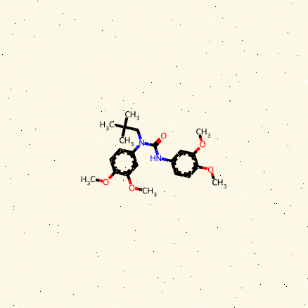 COc1ccc(NC(=O)N(CC(C)(C)C)c2ccc(OC)c(OC)c2)cc1OC